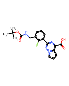 CC(C)(C)OC(=O)NCc1cccc(-c2nc(C(=O)O)c3cccn3n2)c1F